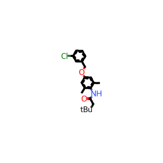 Cc1cc(OCc2cccc(Cl)c2)cc(C)c1NC(=O)CC(C)(C)C